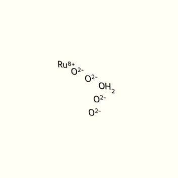 O.[O-2].[O-2].[O-2].[O-2].[Ru+8]